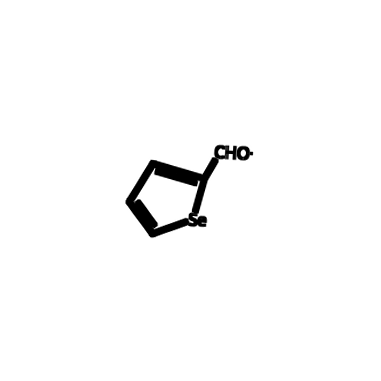 O=[C]c1ccc[se]1